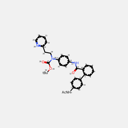 CC(=O)Nc1ccc(-c2ccccc2C(=O)Nc2ccc(N(CCc3ccccn3)C(=O)OC(C)(C)C)cc2)cc1